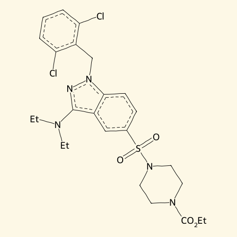 CCOC(=O)N1CCN(S(=O)(=O)c2ccc3c(c2)c(N(CC)CC)nn3Cc2c(Cl)cccc2Cl)CC1